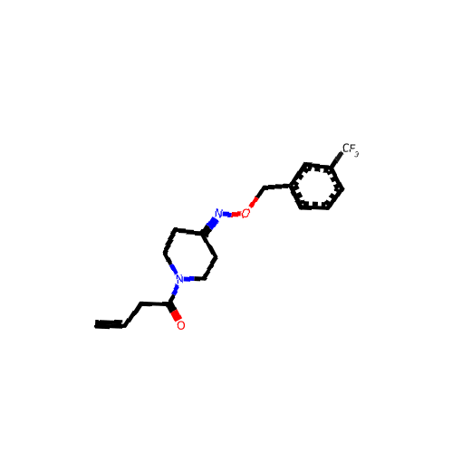 C=CCC(=O)N1CCC(=NOCc2cccc(C(F)(F)F)c2)CC1